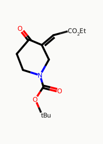 CCOC(=O)/C=C1\CN(C(=O)OC(C)(C)C)CCC1=O